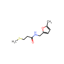 CSCCC(=O)NCc1ccc(C)o1